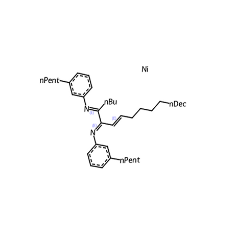 CCCCCCCCCCCCCC/C=C/C(=N\c1cccc(CCCCC)c1)C(/CCCC)=N/c1cccc(CCCCC)c1.[Ni]